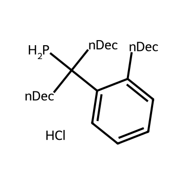 CCCCCCCCCCc1ccccc1C(P)(CCCCCCCCCC)CCCCCCCCCC.Cl